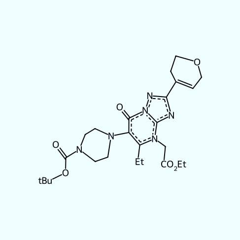 CCOC(=O)Cn1c(CC)c(N2CCN(C(=O)OC(C)(C)C)CC2)c(=O)n2nc(C3=CCOCC3)nc12